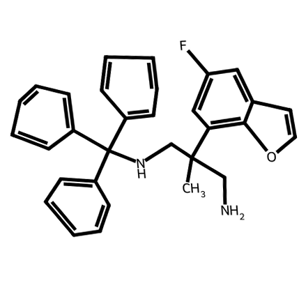 CC(CN)(CNC(c1ccccc1)(c1ccccc1)c1ccccc1)c1cc(F)cc2ccoc12